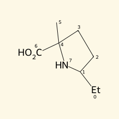 CCC1CCC(C)(C(=O)O)N1